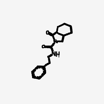 O=C(NCCc1ccccc1)N1CC2CCCCC2C1=O